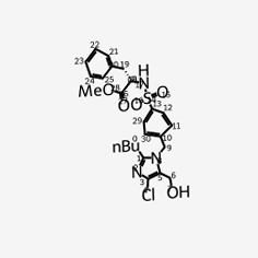 CCCCc1nc(Cl)c(CO)n1Cc1ccc(S(=O)(=O)N[C@@H](Cc2ccccc2)C(=O)OC)cc1